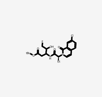 CC[C@@H](C(=O)NC(CC(=O)OC(C)(C)C)C(O)CF)n1ccc2ccc(Cl)cc2c1=O